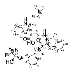 CCN(NCC[C@H](C(=O)O)c1c(CCCN(C)C)[nH]c2ccccc12)[C@@H](Cc1ccccc1)C(=O)N(C)Cc1ccccc1.O=C(O)C(F)(F)F